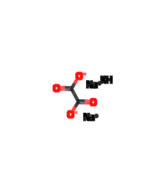 O=C([O-])C(=O)[O-].[KH].[Na+].[Na+]